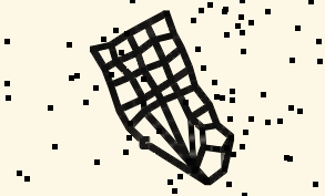 C1C2C3C4CC5C6C7C8C9C%10C%11C%12C%11C%11%13CC%14C%15C%16C1C21C32C45C63C74C85C96C%10C%12C%116C56C%14%13C%155C%161C23C546